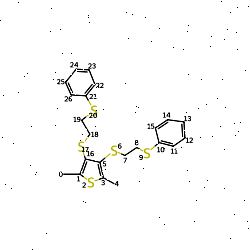 Cc1sc(C)c(SCCSc2ccccc2)c1SCCSc1ccccc1